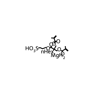 C=C(C)C(=O)OCC(CCCCCC)(COC(=O)C(=C)C)C(=O)OCCCS(=O)(=O)O.[MgH2]